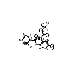 COc1ccc(CC(=O)c2ccccc2C)c(NC(=O)OC(C)(C)C)c1